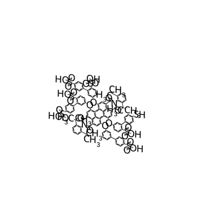 CC(C)c1cccc(C(C)C)c1N1C(=O)c2cc(Oc3cccc(-c4ccc(S(=O)(=O)O)cc4)c3)c3c4c(Oc5ccc(S(=O)(=O)O)c(-c6ccc(S)cc6)c5)cc5c6c(cc(Oc7ccc(S(=O)(=O)O)c(-c8ccc(S(=O)(=O)O)cc8)c7)c(c7c(Oc8ccc(S(=O)(=O)O)c(-c9ccc(S(=O)(=O)O)cc9)c8)cc(c2c37)C1=O)c64)C(=O)N(c1c(C(C)C)cccc1C(C)C)C5=O